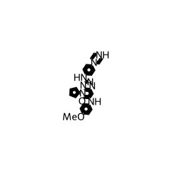 COc1ccc(Nc2cc3nnc(Nc4ccc(N5CCNCC5)cc4)nc3n(C3CCCC3)c2=O)cc1